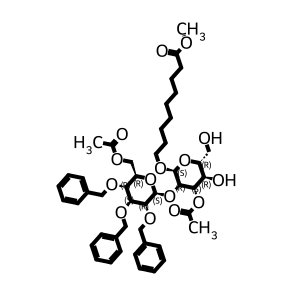 COC(=O)CCCCCCCCO[C@H]1O[C@H](CO)[C@@H](O)[C@H](OC(C)=O)[C@H]1O[C@@H]1O[C@H](COC(C)=O)[C@@H](OCc2ccccc2)[C@H](OCc2ccccc2)[C@H]1OCc1ccccc1